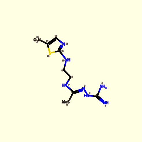 CSC(=NNC(=N)N)NCCNc1ncc([N+](=O)[O-])s1